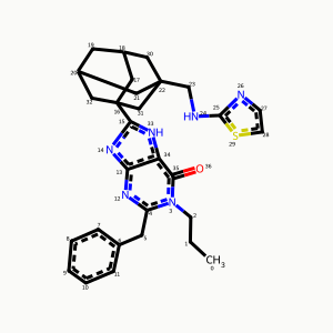 CCCn1c(Cc2ccccc2)nc2nc(C34CC5CC(CC(CNc6nccs6)(C5)C3)C4)[nH]c2c1=O